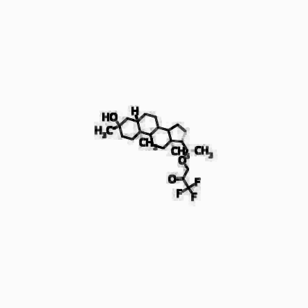 C[C@H](OCC(=O)C(F)(F)F)[C@H]1CCC2C3CC[C@H]4C[C@@](C)(O)CC[C@]4(C)C3CC[C@@]21C